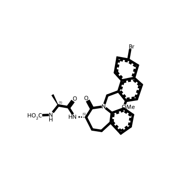 COc1ccc2cc(Br)ccc2c1CN1C(=O)[C@@H](NC(=O)[C@H](C)NC(=O)O)CCc2ccccc21